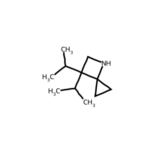 CC(C)C1(C(C)C)CNC12CC2